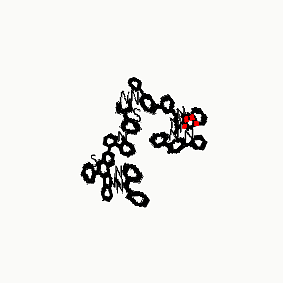 c1ccc(-c2nc(-c3cccc(-c4ccc5c(c4)c4ccccc4n5-c4nccc5c4sc4ccc(-n6c7ccccc7c7c(-c8ccc9c(c8)c8sc%10ccccc%10c8c8c%10ccccc%10n(-c%10nc(-c%11ccccc%11)c%11ccccc%11n%10)c98)cccc76)cc45)c3)nc(-n3c4ccccc4c4ccc5c6ccccc6n(-c6ccccc6)c5c43)n2)cc1